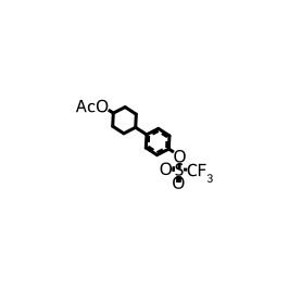 CC(=O)OC1CCC(c2ccc(OS(=O)(=O)C(F)(F)F)cc2)CC1